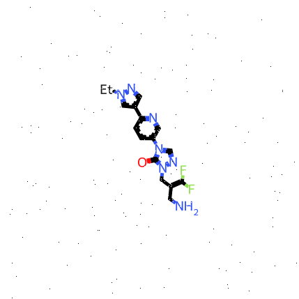 CCn1cc(-c2ccc(-n3cnn(CC(CN)=C(F)F)c3=O)cn2)cn1